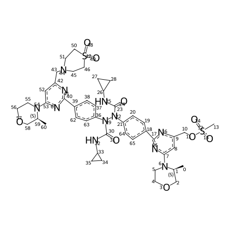 C[C@H]1COCCN1c1cc(COS(C)(=O)=O)nc(-c2ccc(N(C(=O)NC3CC3)N(C(=O)NC3CC3)c3ccc(-c4nc(CN5CCS(=O)(=O)CC5)cc(N5CCOC[C@@H]5C)n4)cc3)cc2)n1